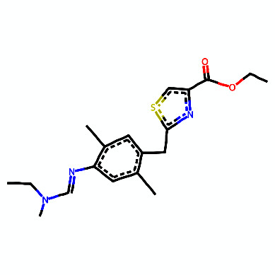 CCOC(=O)c1csc(Cc2cc(C)c(N=CN(C)CC)cc2C)n1